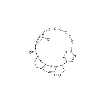 O=C(O)CC1c2cnc(nc2)OCCCCCc2ccc(cc2Cl)C(=O)N2CCc3ccc1cc3C2